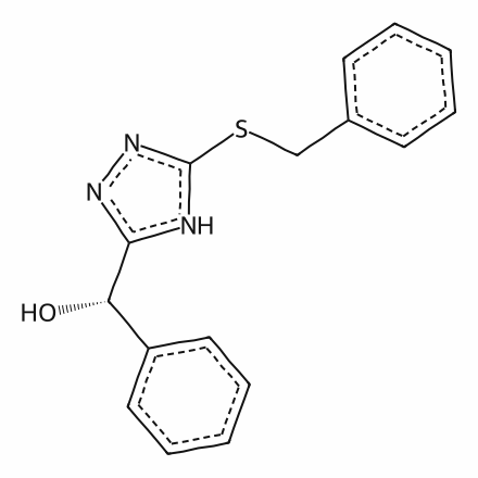 O[C@@H](c1ccccc1)c1nnc(SCc2ccccc2)[nH]1